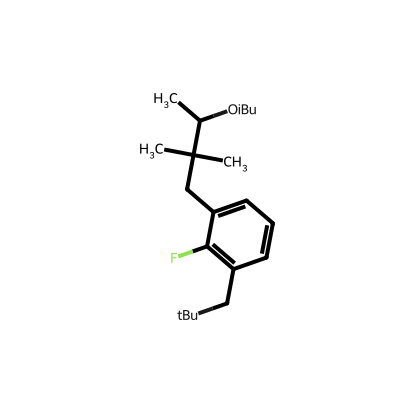 CC(C)COC(C)C(C)(C)Cc1cccc(CC(C)(C)C)c1F